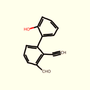 C#Cc1c(C=O)cccc1-c1ccccc1O